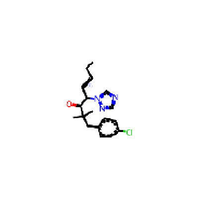 CC/C=C/C(C(=O)C(C)(C)Cc1ccc(Cl)cc1)n1cncn1